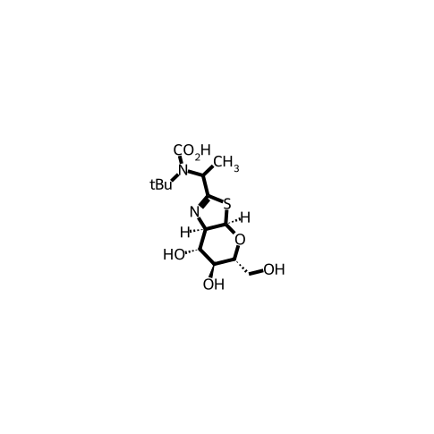 CC(C1=N[C@@H]2[C@@H](O)[C@H](O)[C@@H](CO)O[C@@H]2S1)N(C(=O)O)C(C)(C)C